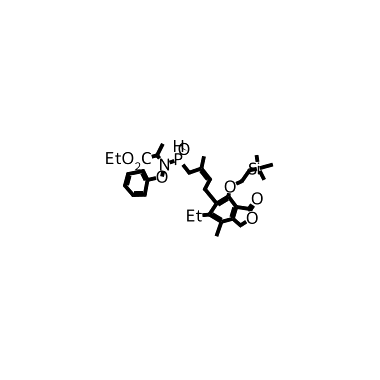 CCOC(=O)C(C)N(Oc1ccccc1)[PH](=O)CC(C)=CCc1c(CC)c(C)c2c(c1OCC[Si](C)(C)C)C(=O)OC2